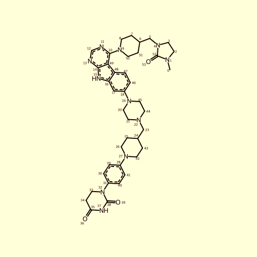 CN1CCN(CC2CCN(c3ncnc4[nH]c5cc(N6CCN(CC7CCN(c8ccc(N9CCC(=O)NC9=O)cc8)CC7)CC6)ccc5c34)CC2)C1=O